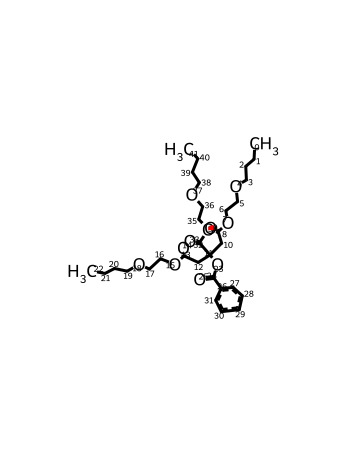 CCCCOCCOC(=O)CC(CC(=O)OCCOCCCC)(OC(=O)c1ccccc1)C(=O)OCCOCCCC